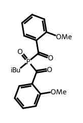 CCC(C)P(=O)(C(=O)c1ccccc1OC)C(=O)c1ccccc1OC